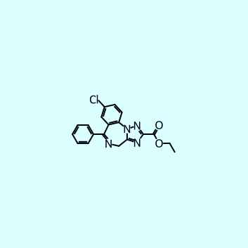 CCOC(=O)c1nc2n(n1)-c1ccc(Cl)cc1C(c1ccccc1)=NC2